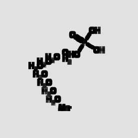 O.O.O.O.O.O.O.O.O=P(O)(O)O.[Mn]